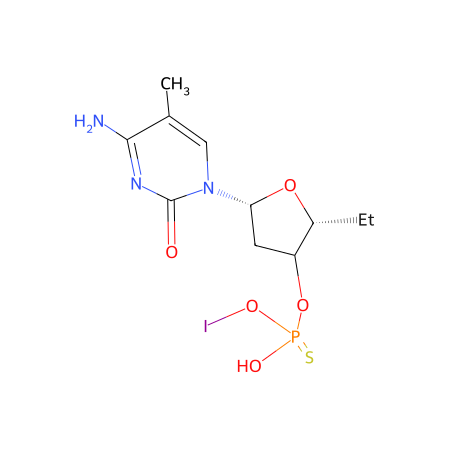 CC[C@H]1O[C@@H](n2cc(C)c(N)nc2=O)CC1OP(O)(=S)OI